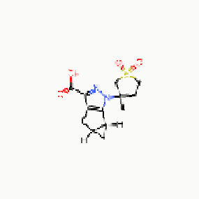 C[C@]1(n2nc(C(=O)O)c3c2[C@@H]2C[C@@H]2C3)CCS(=O)(=O)C1